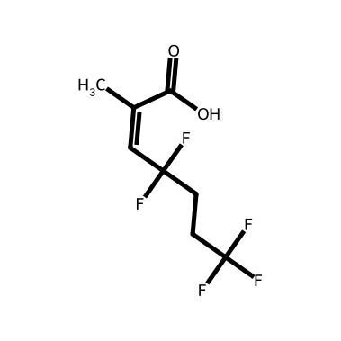 CC(=CC(F)(F)CCC(F)(F)F)C(=O)O